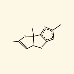 CC1=CC2Sc3cc(C)sc3C2(C)S1